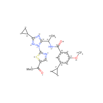 COC(=O)c1cnc(-n2nc(C3CC3)nc2C(C)NC(=O)c2cc(OC(F)(F)F)cc(C3CC3)c2)s1